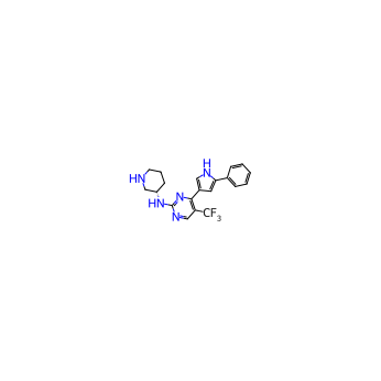 FC(F)(F)c1cnc(N[C@H]2CCCNC2)nc1-c1c[nH]c(-c2ccccc2)c1